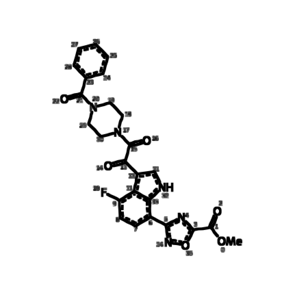 COC(=O)c1nc(-c2ccc(F)c3c(C(=O)C(=O)N4CCN(C(=O)c5ccccc5)CC4)c[nH]c23)no1